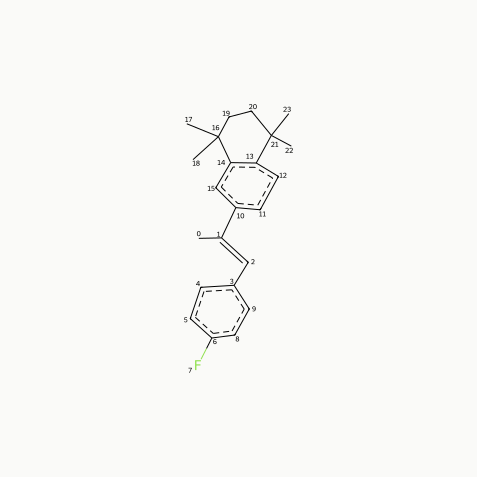 C/C(=C\c1ccc(F)cc1)c1ccc2c(c1)C(C)(C)CCC2(C)C